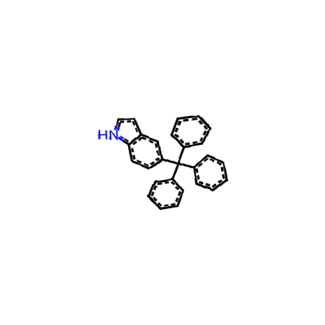 c1ccc(C(c2ccccc2)(c2ccccc2)c2ccc3[nH]ccc3c2)cc1